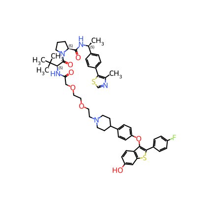 Cc1ncsc1-c1ccc([C@H](C)NC(=O)[C@@H]2CCCN2C(=O)[C@@H](NC(=O)COCCOCCN2CCC(c3ccc(Oc4c(-c5ccc(F)cc5)sc5cc(O)ccc45)cc3)CC2)C(C)(C)C)cc1